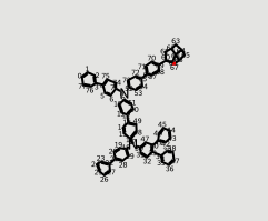 c1ccc(-c2ccc(N(c3ccc(-c4ccc(N(c5ccc(-c6ccccc6)cc5)c5ccc(-c6ccccc6)c(-c6ccccc6)c5)cc4)cc3)c3ccc(-c4ccc(C56CC7CC8CC(C5)C87C6)cc4)cc3)cc2)cc1